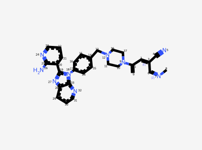 C=C(/C=C(C#N)\C=N/C)N1CCN(Cc2ccc(-n3c(-c4cccnc4N)nc4cccnc43)cc2)CC1